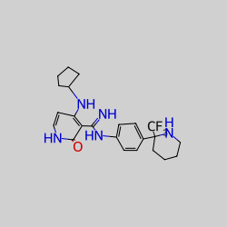 N=C(Nc1ccc(C2(C(F)(F)F)CCCCN2)cc1)c1c(NC2CCCC2)cc[nH]c1=O